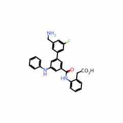 NCc1cc(F)cc(-c2cc(Nc3ccccc3)cc(C(=O)Nc3ccccc3CC(=O)O)c2)c1